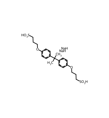 CC(C)(c1ccc(OCCCS(=O)(=O)O)cc1)c1ccc(OCCCS(=O)(=O)O)cc1.[NaH].[NaH]